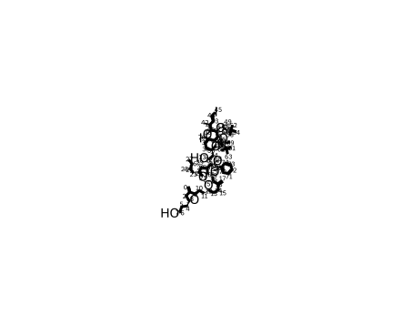 C=C1C[C@H](CCCO)OC1CC[C@H]1C[C@@H](C)C(=C)C(C[C@@H]2O[C@H](C[C@H](C)CC)[C@H](C)C2[C@H](C(O)C[C@H]2CC[C@@H]3O[C@@H]([C@@H](C)/C=C/I)[C@@H](O[Si](C)(C)C(C)(C)C)[C@@H](O[Si](C)(C)C(C)(C)C)[C@H]3O2)S(=O)(=O)c2ccccc2)O1